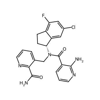 NC(=O)c1ncccc1CN(C(=O)c1cccnc1N)[C@@H]1CCc2c(F)cc(Cl)cc21